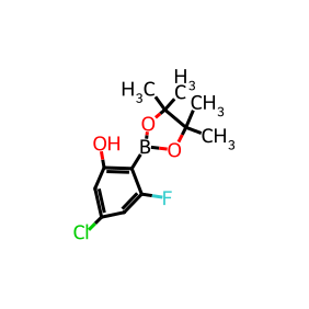 CC1(C)OB(c2c(O)cc(Cl)cc2F)OC1(C)C